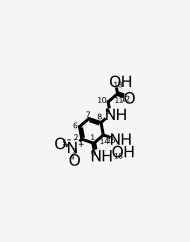 N=C1C([N+](=O)[O-])=CC=C(NCC(=O)O)C1NO